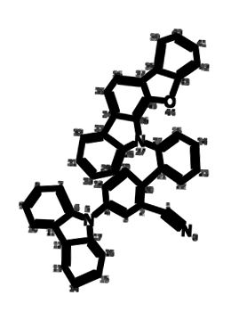 N#Cc1cc(-n2c3ccccc3c3ccccc32)ccc1-c1ccccc1-n1c2ccccc2c2ccc3c4ccccc4oc3c21